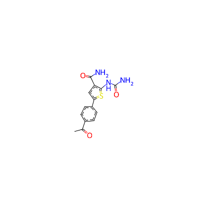 CC(=O)c1ccc(-c2cc(C(N)=O)c(NC(N)=O)s2)cc1